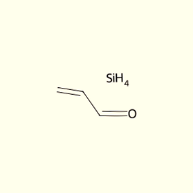 C=CC=O.[SiH4]